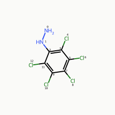 NNc1c(Cl)c(Cl)c(Cl)c(Cl)c1Cl